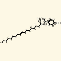 CCCCCCCCC=CCCCCCCCC(=O)NC(CO)c1ccc(O)cc1